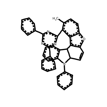 Cc1ccc2oc3c(c2c1-c1nc(-c2ccccc2)nc(-c2ccccc2)n1)C1c2ccccc2N(c2ccccc2)C1C=C3